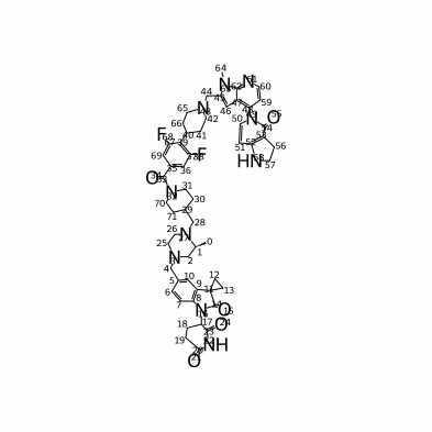 C[C@H]1CN(Cc2ccc3c(c2)C2(CC2)C(=O)N3C2CCC(=O)NC2=O)CCN1CC1CCN(C(=O)c2cc(F)c(C3CCN(Cc4cc5c(-n6ccc7c(c6=O)CCN7)ccnc5n4C)CC3)c(F)c2)CC1